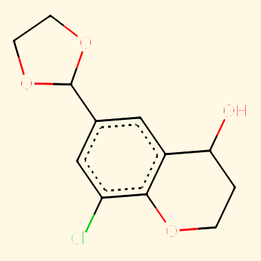 OC1CCOc2c(Cl)cc(C3OCCO3)cc21